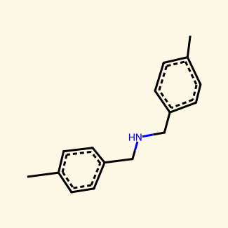 Cc1ccc(CNCc2ccc(C)cc2)cc1